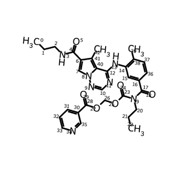 CCCNC(=O)c1cn2ncnc(Nc3cc(C(=O)N(CCC)C(=O)OCOC(=O)c4cccnc4)ccc3C)c2c1C